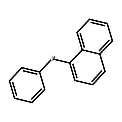 c1ccc([I+]c2cccc3ccccc23)cc1